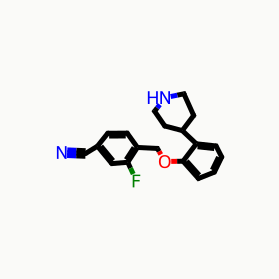 N#Cc1ccc(COc2ccccc2C2CCNCC2)c(F)c1